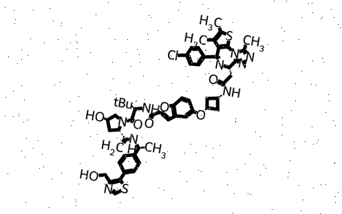 C=C(N[C@@H](C)c1ccc(-c2scnc2CO)cc1)[C@@H]1C[C@@H](O)CN1C(=O)[C@@H](NC(=O)c1cc2cc(O[C@H]3C[C@@H](NC(=O)C[C@@H]4N=C(c5ccc(Cl)cc5)c5c(sc(C)c5C)-n5c(C)nnc54)C3)ccc2o1)C(C)(C)C